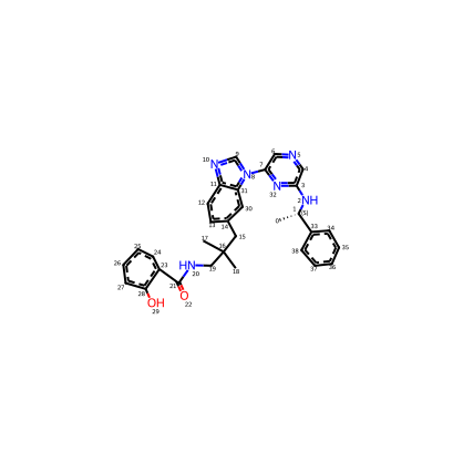 C[C@H](Nc1cncc(-n2cnc3ccc(CC(C)(C)CNC(=O)c4ccccc4O)cc32)n1)c1ccccc1